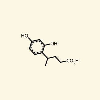 CC(CCC(=O)O)c1ccc(O)cc1O